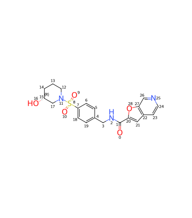 O=C(NCc1ccc(S(=O)(=O)N2CCC[C@@H](O)C2)cc1)c1cc2ccncc2o1